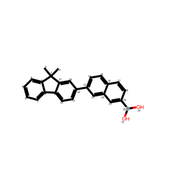 CC1(C)c2ccccc2-c2ccc(-c3ccc4ccc(B(O)O)cc4c3)cc21